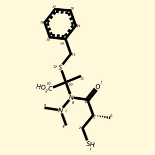 C[C@H](CS)C(=O)N(N(C)C)C(C)(SCc1ccccc1)C(=O)O